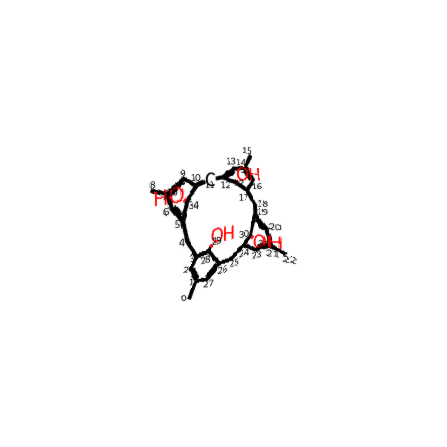 CC1=CC2CC3=CC(C)=CC(CC4=CC(C)=CC(CC5=CC(C)=CC(CC(=C1)C2O)C5O)C4O)C3O